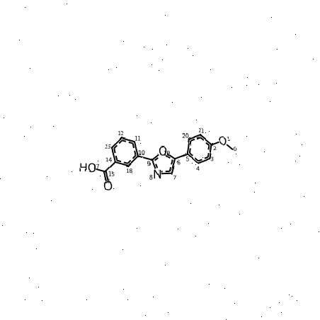 COc1ccc(-c2cnc(-c3cccc(C(=O)O)c3)o2)cc1